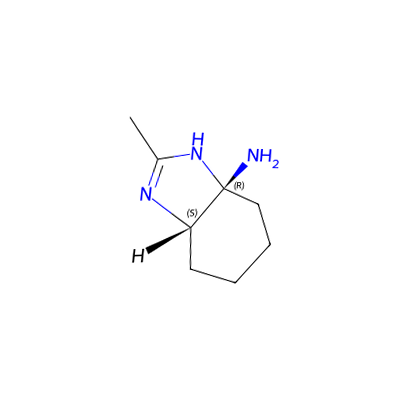 CC1=N[C@H]2CCCC[C@@]2(N)N1